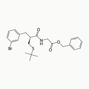 CC(C)(C)SC[C@@H](Cc1cccc(Br)c1)C(=O)NCC(=O)OCc1ccccc1